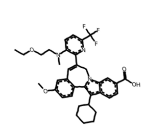 CCOCCN(C)c1ccc(C(F)(F)F)nc1C1=Cc2cc(OC)ccc2-c2c(C3CCCCC3)c3ccc(C(=O)O)cc3n2C1